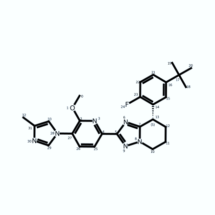 COc1nc(-c2nc3n(n2)CCC[C@H]3c2cc(C(C)(C)C)ccc2F)ccc1-n1cnc(C)c1